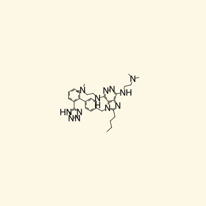 CCCCc1nc2c(NCCN(C)C)nnc(NCCN(C)C)c2n1Cc1ccc(-c2ccccc2-c2nnn[nH]2)cc1